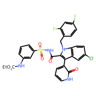 CCOC(=O)Nc1cccc(S(=O)(=O)NC(=O)c2c(-c3ccc[nH]c3=O)c3cc(Cl)ccc3n2Cc2ccc(F)cc2F)c1